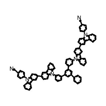 N#Cc1ccc(-n2c3ccccc3c3cc(-c4ccc5c(c4)c4ccccc4n5-c4cccc(-c5cc(-c6ccccc6)cc(-c6cccc(-n7c8ccccc8c8cc(-c9ccc%10c(c9)c9ccccc9n%10-c9ccc(C#N)cc9)ccc87)c6)c5)c4)ccc32)cc1